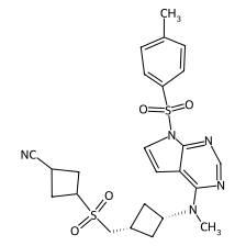 Cc1ccc(S(=O)(=O)n2ccc3c(N(C)[C@H]4C[C@@H](CS(=O)(=O)C5CC(C#N)C5)C4)ncnc32)cc1